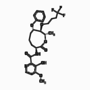 COc1ccnc(C(=O)N[C@H]2CCC[C@H](Oc3ccccc3)[C@@H](OCCCC(F)(F)F)[C@H](C)OC2=O)c1O